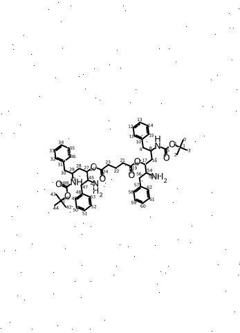 CC(C)(C)OC(=O)NC(Cc1ccccc1)CC(OC(=O)CCCC(=O)OC(CC(Cc1ccccc1)NC(=O)OC(C)(C)C)C(N)Cc1ccccc1)C(N)Cc1ccccc1